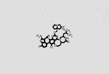 CC(C)CC1CN2c3nc(OC[C@@]45CCCN4C[C@H](C)C5)nc4c(F)c(-c5ccc(F)c6sc(N)c(C#N)c56)c(Cl)c(c34)OCCC2CC(=O)N1